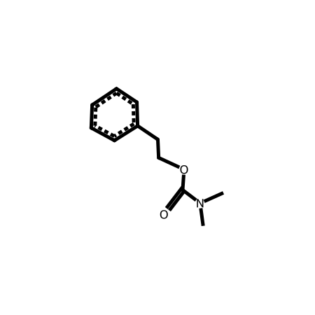 CN(C)C(=O)OCCc1ccccc1